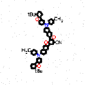 Cc1ccc(N(c2ccc3cc4c(cc3c2)oc2c4cc(C#N)c3oc4cc5cc(N(c6ccc(C)cc6)c6ccc7oc8c(C(C)(C)C)cccc8c7c6)ccc5cc4c32)c2ccc3oc4c(C(C)(C)C)cccc4c3c2)cc1